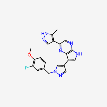 COc1ccc(Cn2cc(-c3c[nH]c4ncc(-c5cn[nH]c5C)nc34)cn2)cc1F